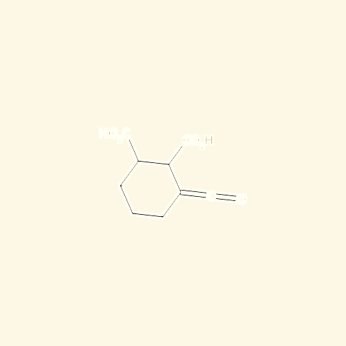 O=C=C1CCCC(C(=O)O)C1C(=O)O